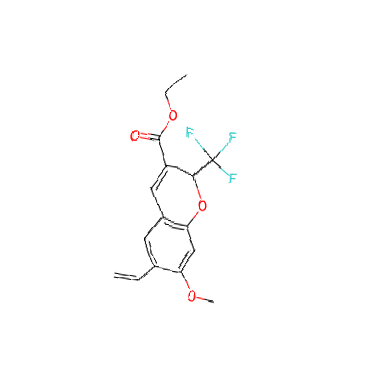 C=Cc1cc2c(cc1OC)OC(C(F)(F)F)C(C(=O)OCC)=C2